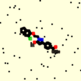 CCOc1cc(-c2ccc(C(=O)OC)cc2)nn1CCOc1cc2c(cc1Cl)CCC2